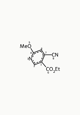 CCOC(=O)c1cnc(OC)cc1C#N